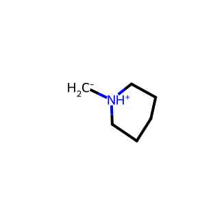 [CH2-][NH+]1CCCCC1